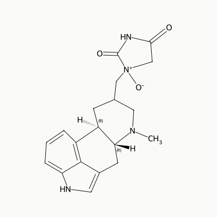 CN1CC(C[N+]2([O-])CC(=O)NC2=O)C[C@@H]2c3cccc4[nH]cc(c34)C[C@H]21